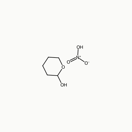 O=[N+]([O-])O.OC1CCCCO1